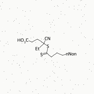 CCCCCCCCCCCCC(=S)SC(C#N)(CC)CCC(=O)O